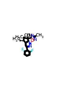 CC[C@@H]1c2cc(-c3c(F)cccc3F)nnc2C(C)(c2nc(C)no2)C1(C)C